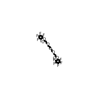 O=C(CCOCCOCCOCCC(=O)Oc1c(F)c(F)c(F)c(F)c1F)Oc1c(F)c(F)c(F)c(F)c1F